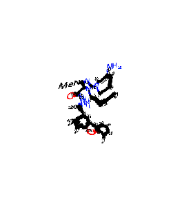 CC#CCn1c(N2CCC[C@@H](N)C2)nc(NC)c1C(=O)NCc1ccc2oc3ccccc3c2c1